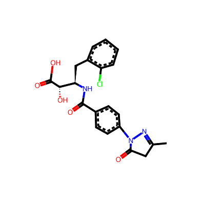 CC1=NN(c2ccc(C(=O)N[C@H](Cc3ccccc3Cl)[C@H](O)C(=O)O)cc2)C(=O)C1